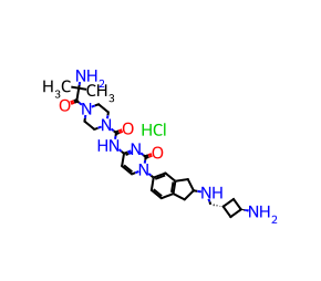 CC(C)(N)C(=O)N1CCN(C(=O)Nc2ccn(-c3ccc4c(c3)CC(NC[C@H]3C[C@H](N)C3)C4)c(=O)n2)CC1.Cl